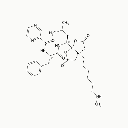 CNCCCCCC[N+]12CC(=O)O[B-]1([C@H](CC(C)C)NC(=O)[C@H](Cc1ccccc1)NC(=O)c1cnccn1)OC(=O)C2